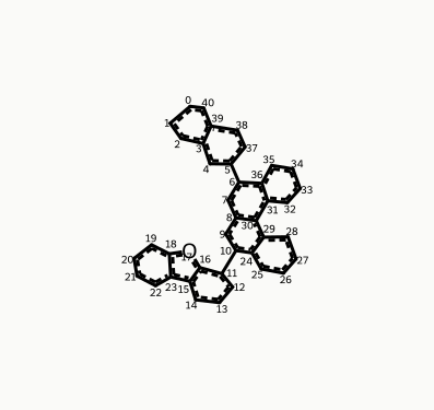 c1ccc2cc(-c3cc4cc(-c5cccc6c5oc5ccccc56)c5ccccc5c4c4ccccc34)ccc2c1